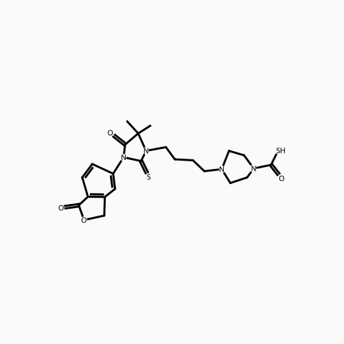 CC1(C)C(=O)N(c2ccc3c(c2)COC3=O)C(=S)N1CCCCN1CCN(C(=O)S)CC1